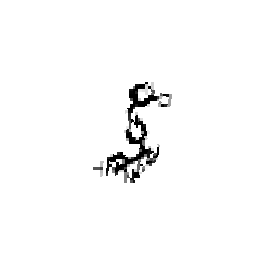 Clc1cc(CN2CCC(c3ncn4cnc5[nH]ccc5c34)CC2)ccn1